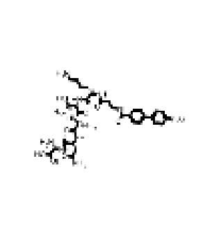 CCCCc1ccc(-c2ccc(C(=O)NCCC(=O)N[C@@H](CCCCN)C(=O)N[C@H](C(=O)N[C@@H](N)C(=O)N[C@@H](CC(N)=O)C(=O)N[C@@H](N)C(O)O)[C@@H](C)O)cc2)cc1